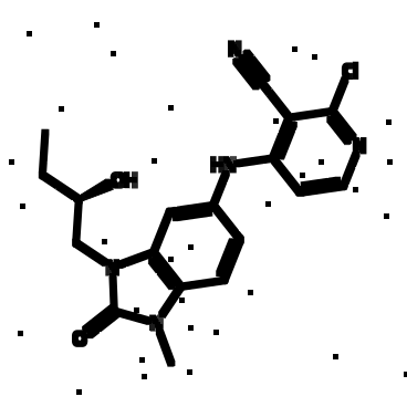 CC[C@@H](O)Cn1c(=O)n(C)c2ccc(Nc3ccnc(Cl)c3C#N)cc21